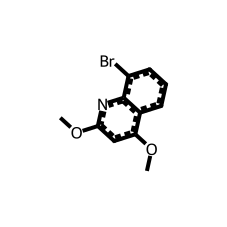 COc1cc(OC)c2cccc(Br)c2n1